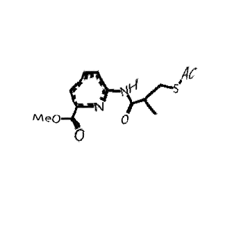 COC(=O)c1cccc(NC(=O)C(C)CSC(C)=O)n1